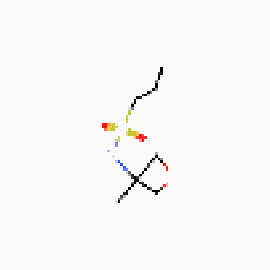 CCCS(=O)(=O)NC1(C)COC1